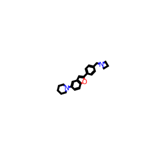 c1cc(-c2cc3cc(N4CCCCC4)ccc3o2)ccc1CN1CCC1